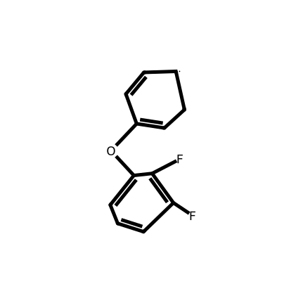 Fc1cccc(OC2=CC[CH]C=C2)c1F